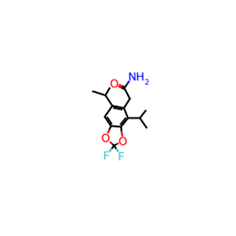 CC(C)c1cc2c(c(C(C)C)c1CC(N)=O)OC(F)(F)O2